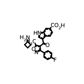 Cc1onc(-c2ccc(F)cc2)c1C(=O)c1c[nH]c2cc(C(=O)O)ccc12.NC1CCC1